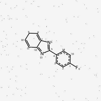 Fc1ccc(C2=NC3=CCC=CC3=N2)cc1